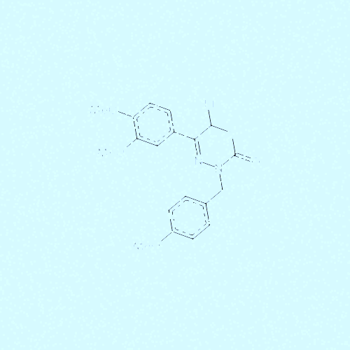 CCC1SC(=O)N(Cc2ccc(OC)cc2)N=C1c1ccc(OC)c(OC)c1